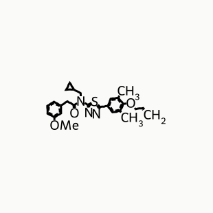 C=CCOc1c(C)cc(-c2nnc(N(CC3CC3)C(=O)Cc3cccc(OC)c3)s2)cc1C